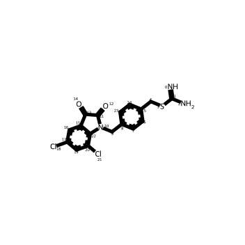 N=C(N)SCc1ccc(CN2C(=O)C(=O)c3cc(Cl)cc(Cl)c32)cc1